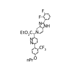 CCCOc1ccc(-c2ccc(C(C(=O)OCC)N3C=Cc4[nH]c(-c5cccc(F)c5F)nc4C3)nn2)c(C(F)(F)F)c1